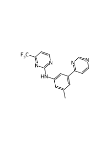 Cc1cc(Nc2nccc(C(F)(F)F)n2)cc(-c2ccncn2)c1